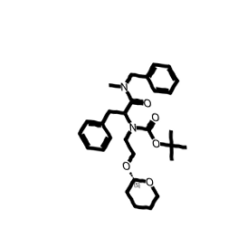 CN(Cc1ccccc1)C(=O)C(Cc1ccccc1)N(CCO[C@H]1CCCCO1)C(=O)OC(C)(C)C